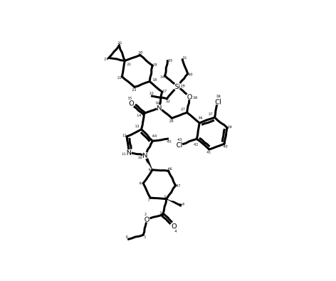 CCOC(=O)[C@]1(C)CC[C@@H](n2ncc(C(=O)N(CC3CCC4(CC3)CC4)CC(O[Si](CC)(CC)CC)c3c(Cl)cccc3Cl)c2C)CC1